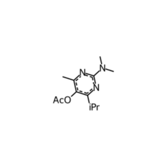 CC(=O)Oc1c(C)nc(N(C)C)nc1C(C)C